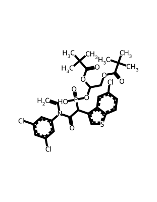 C=CN(C(=O)C(c1csc2ccc(Cl)cc12)P(=O)(O)OC(COC(=O)C(C)(C)C)OC(=O)C(C)(C)C)c1cc(Cl)cc(Cl)c1